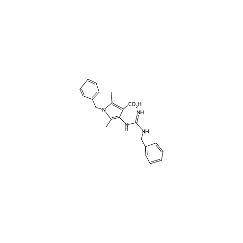 Cc1c(NC(=N)NCc2ccccc2)c(C(=O)O)c(C)n1Cc1ccccc1